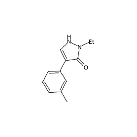 CCn1[nH]cc(-c2cccc(C)c2)c1=O